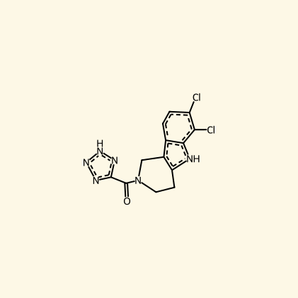 O=C(c1nn[nH]n1)N1CCc2[nH]c3c(Cl)c(Cl)ccc3c2C1